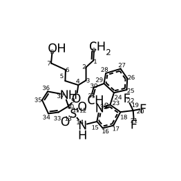 C=CCCC(CCCO)OC1(S(=O)(=O)Nc2ccc(C(F)(F)F)c(-c3ccccc3C=C)n2)C=CC=CN1